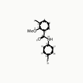 COc1c(C)cccc1C(=O)Nc1ccc(F)cc1